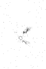 COCOc1cc(N)cc(Br)c1.N.N.N.N.N.N.N.N.N.N.N